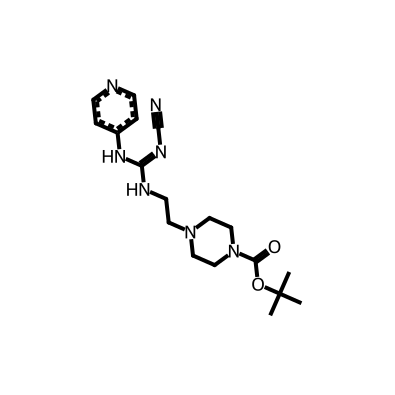 CC(C)(C)OC(=O)N1CCN(CCNC(=NC#N)Nc2ccncc2)CC1